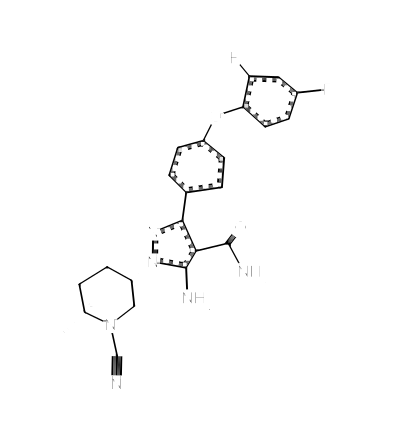 C[C@@H]1CC[C@H](n2nc(-c3ccc(Oc4ccc(F)cc4F)cc3)c(C(N)=O)c2N)CN1C#N